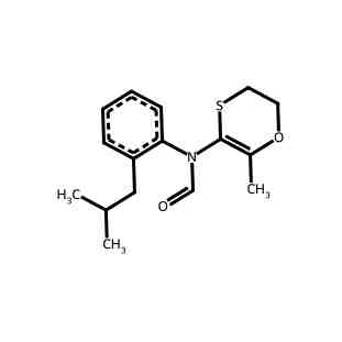 CC1=C(N(C=O)c2ccccc2CC(C)C)SCCO1